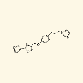 c1cn(CCCc2ccc(OCc3coc(-c4ccoc4)n3)cc2)cn1